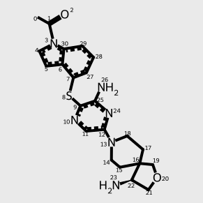 CC(=O)n1ccc2c(Sc3ncc(N4CCC5(CC4)COC[C@H]5N)nc3N)cccc21